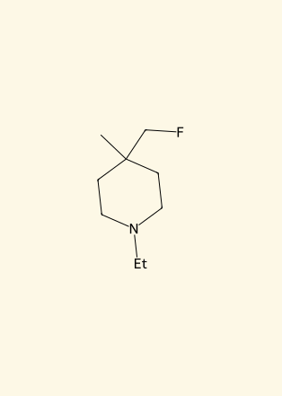 CCN1CCC(C)(CF)CC1